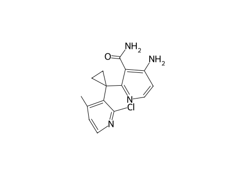 Cc1ccnc(Cl)c1C1(c2nccc(N)c2C(N)=O)CC1